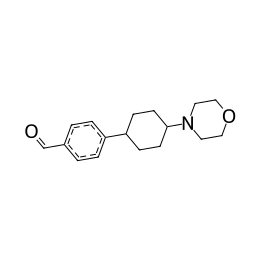 O=Cc1ccc(C2CCC(N3CCOCC3)CC2)cc1